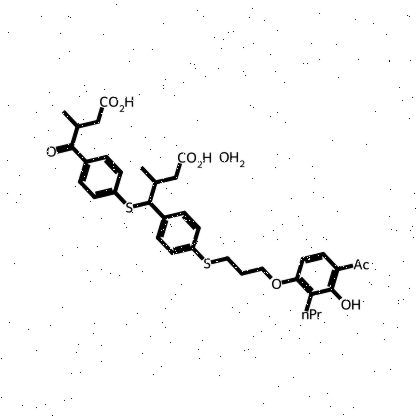 CCCc1c(OCCCSc2ccc(C(Sc3ccc(C(=O)C(C)CC(=O)O)cc3)C(C)CC(=O)O)cc2)ccc(C(C)=O)c1O.O